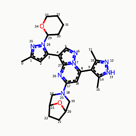 Cc1cc(-c2cnn3c(-c4c(C)n[nH]c4C)cc(N4CC5CCC(C4)O5)nc23)n(C2CCCCO2)n1